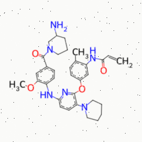 C=CC(=O)Nc1cc(Oc2nc(Nc3ccc(C(=O)N4CCCC(N)C4)cc3OC)ccc2N2CCCCC2)ccc1C